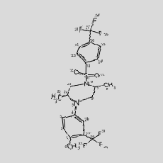 Cc1ccc(N2CC(C)N(S(=O)(=O)c3ccc(C(F)(F)F)cc3)CC2C)cc1C(F)(F)F